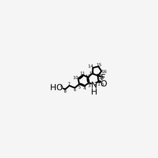 O=C1Nc2cc(CCCO)ccc2C2CCCC12F